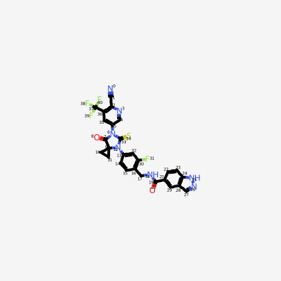 N#Cc1ncc(N2C(=O)C3(CC3)N(c3ccc(CNC(=O)c4ccc5[nH]ncc5c4)c(F)c3)C2=S)cc1C(F)(F)F